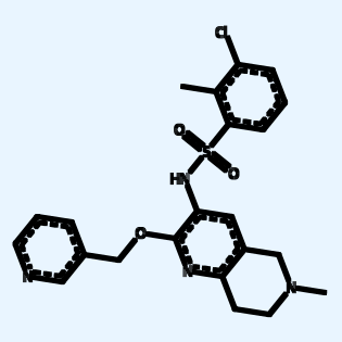 Cc1c(Cl)cccc1S(=O)(=O)Nc1cc2c(nc1OCc1cccnc1)CCN(C)C2